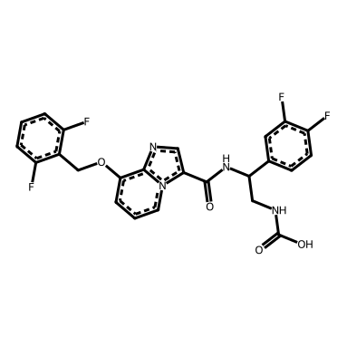 O=C(O)NCC(NC(=O)c1cnc2c(OCc3c(F)cccc3F)cccn12)c1ccc(F)c(F)c1